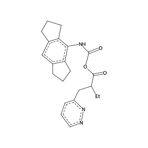 CCC(Cc1cccnn1)C(=O)OC(=O)Nc1c2c(cc3c1CCC3)CCC2